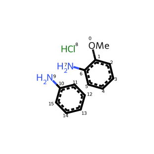 COc1ccccc1N.Cl.Nc1ccccc1